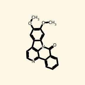 COc1cc2c3ccnc4c5ccccc5c(=O)n(c2cc1OC)c34